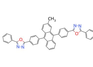 Cc1ccc2c(-c3ccc(-c4nnc(-c5ccccc5)o4)cc3)c3ccccc3c(-c3ccc(-c4nnc(-c5ccccc5)o4)cc3)c2c1